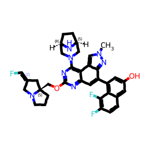 Cn1cc2c(n1)c(-c1cc(O)cc3ccc(F)c(F)c13)cc1nc(OC[C@@]34CCCN3C/C(=C\F)C4)nc(N3C[C@H]4CC[C@@H](C3)N4)c12